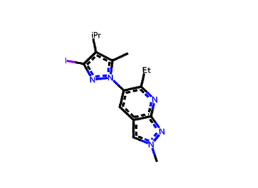 CCc1nc2nn(C)cc2cc1-n1nc(I)c(C(C)C)c1C